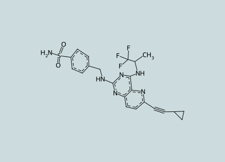 CC(Nc1nc(NCc2ccc(S(N)(=O)=O)cc2)nc2ccc(C#CC3CC3)nc12)C(F)(F)F